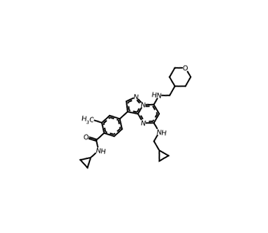 Cc1cc(-c2cnn3c(NCC4CCOCC4)cc(NCC4CC4)nc23)ccc1C(=O)NC1CC1